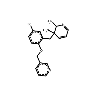 NC1N=CC=CC1(N)Cc1cc(Br)ccc1OCc1cccnc1